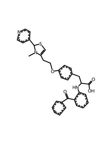 CN1C(CCOc2ccc(CC(Nc3ccccc3C(=O)c3ccccc3)C(=O)O)cc2)=CSC1c1ccncc1